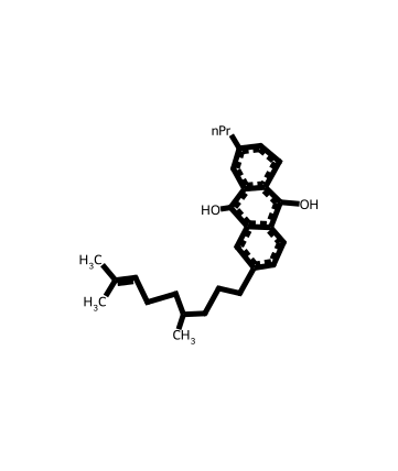 CCCc1ccc2c(O)c3ccc(CCCC(C)CCC=C(C)C)cc3c(O)c2c1